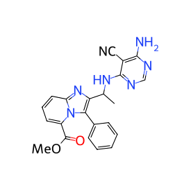 COC(=O)c1cccc2nc(C(C)Nc3ncnc(N)c3C#N)c(-c3ccccc3)n12